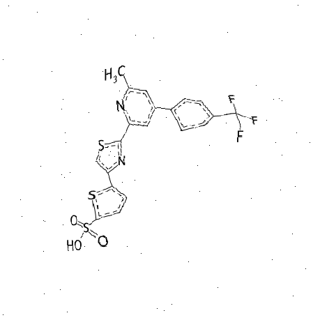 Cc1cc(-c2ccc(C(F)(F)F)cc2)cc(-c2nc(-c3ccc(S(=O)(=O)O)s3)cs2)n1